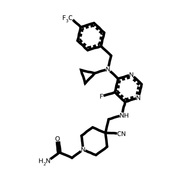 N#CC1(CNc2ncnc(N(Cc3ccc(C(F)(F)F)cc3)C3CC3)c2F)CCN(CC(N)=O)CC1